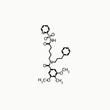 COc1cc(C(=O)N(CCCCC(=O)NS(=O)(=O)c2ccccn2)CCCc2ccccc2)cc(OC)c1C